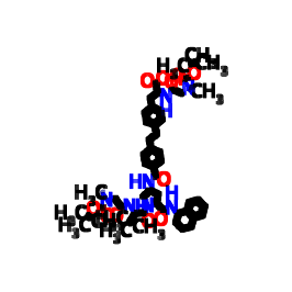 CN(CC(=O)NC(Cc1ccc(CCc2ccc(C(=O)NC3CC(C(=O)NC4CCCc5ccccc54)N(C(=O)C(NC(=O)CN(C)C(=O)OC(C)(C)C)C(C)(C)C)C3)cc2)cc1)C(=O)O)C(=O)OC(C)(C)C